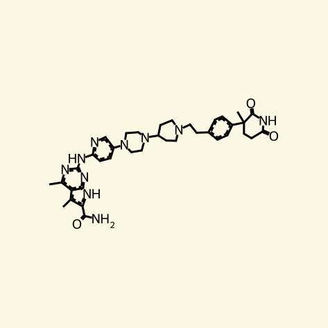 Cc1nc(Nc2ccc(N3CCN(C4CCN(CCc5ccc(C6(C)CCC(=O)NC6=O)cc5)CC4)CC3)cn2)nc2[nH]c(C(N)=O)c(C)c12